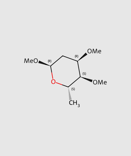 CO[C@H]1C[C@@H](OC)[C@@H](OC)[C@H](C)O1